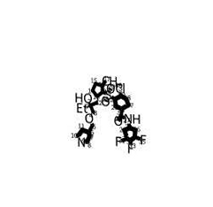 CC[C@@](O)(COCc1ccncc1)C[C@@H]1CCC(C)C1S(=O)(=O)c1cc(C(=O)Nc2cc(F)c(F)c(F)c2)ccc1Cl